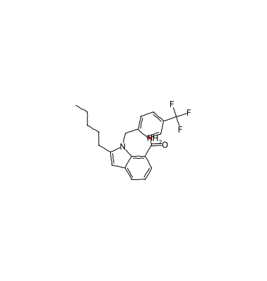 CCCCCc1cc2cccc(C(N)=O)c2n1Cc1ccc(C(F)(F)F)cc1